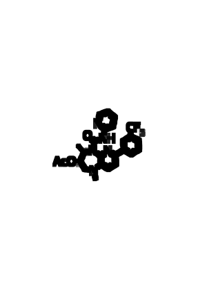 CC(=O)O[C@@H]1CN(C)c2ccc(-c3cccc(C(F)(F)F)c3)nc2N(C(=O)Nc2ccccn2)[C@@H]1C